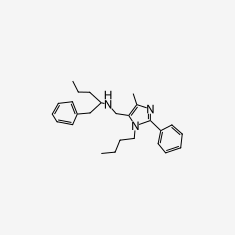 CCCCn1c(-c2ccccc2)nc(C)c1CNC(CCC)Cc1ccccc1